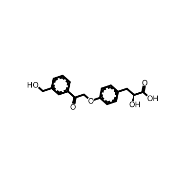 O=C(COc1ccc(C[C@H](O)C(=O)O)cc1)c1cccc(CO)c1